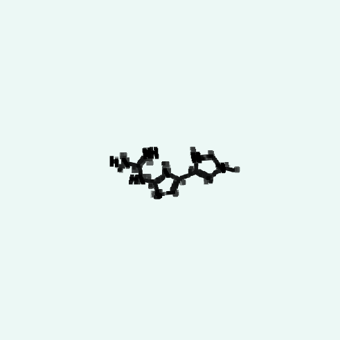 Cn1cnc(-c2csc(NC(=N)N)n2)c1